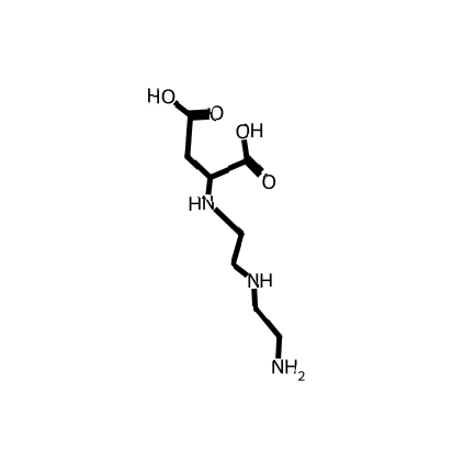 NCCNCCNC(CC(=O)O)C(=O)O